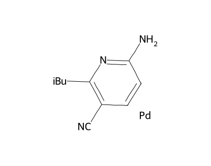 CCC(C)c1nc(N)ccc1C#N.[Pd]